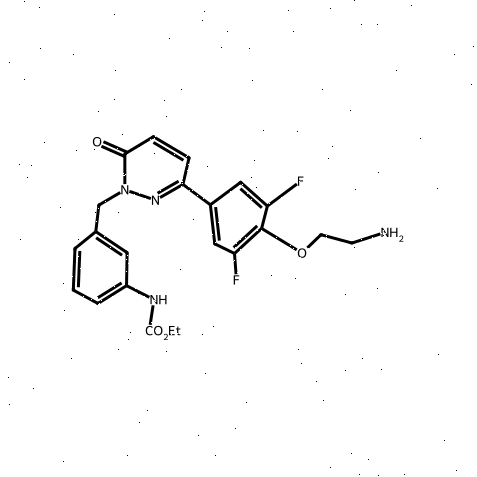 CCOC(=O)Nc1cccc(Cn2nc(-c3cc(F)c(OCCN)c(F)c3)ccc2=O)c1